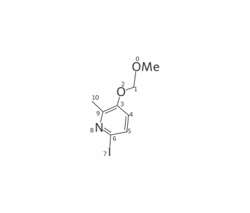 COCOc1ccc(I)nc1C